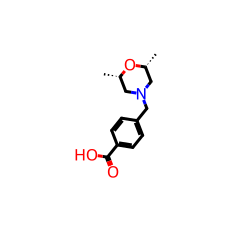 C[C@@H]1CN(Cc2ccc(C(=O)O)cc2)C[C@H](C)O1